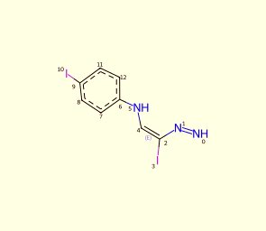 N=N/C(I)=C\Nc1ccc(I)cc1